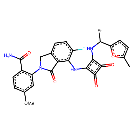 CCC(Nc1c(Nc2c(F)ccc3c2C(=O)N(c2cc(OC)ccc2C(N)=O)C3)c(=O)c1=O)c1ccc(C)o1